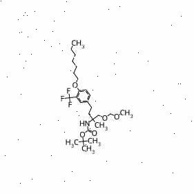 CCCCCCCOc1ccc(CCC(C)(COCOC)NC(=O)OC(C)(C)C)cc1C(F)(F)F